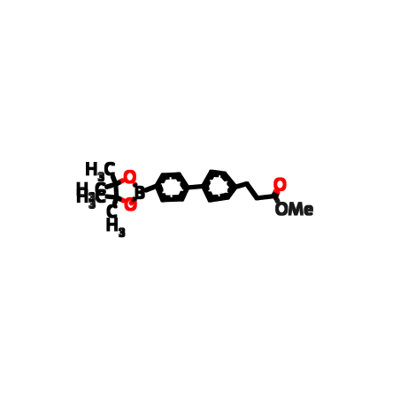 COC(=O)CCc1ccc(-c2ccc(B3OC(C)(C)C(C)(C)O3)cc2)cc1